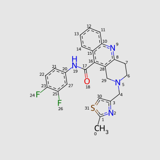 Cc1nc(CN2CCc3nc4ccccc4c(C(=O)Nc4ccc(F)c(F)c4)c3C2)cs1